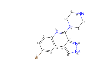 Brc1ccc2nc(N3CCNCC3)c3n[nH]cc3c2c1